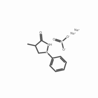 CC1CN(c2ccccc2)NC1=O.O=S([O-])[O-].[Na+].[Na+]